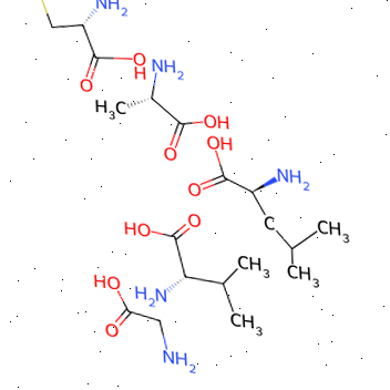 CC(C)C[C@H](N)C(=O)O.CC(C)[C@H](N)C(=O)O.C[C@H](N)C(=O)O.NCC(=O)O.N[C@@H](CS)C(=O)O